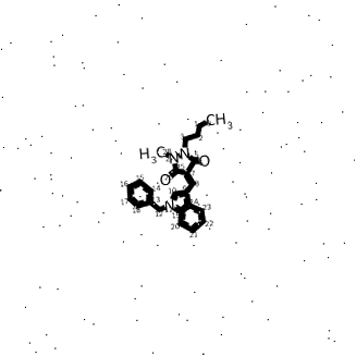 CCCCN1C(=O)/C(=C/c2cn(Cc3ccccc3)c3ccccc23)C(=O)N1C